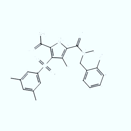 Cc1cc(C)cc(S(=O)(=O)c2c(C(N)=O)[nH]c(C(=O)N(C)Cc3ccccc3F)c2C)c1